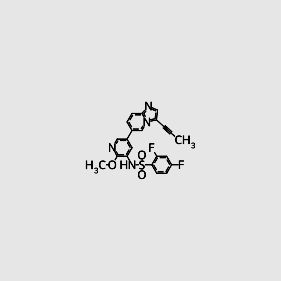 CC#Cc1cnc2ccc(-c3cnc(OC)c(NS(=O)(=O)c4ccc(F)cc4F)c3)cn12